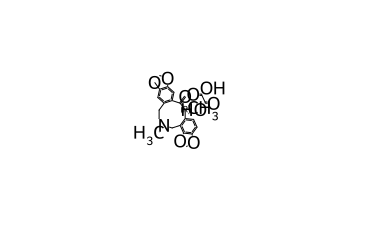 C[C@H]1C(=O)c2cc3c(cc2CCN(C)Cc2c1ccc1c2OCO1)OCO3.O=C(O)C(=O)O